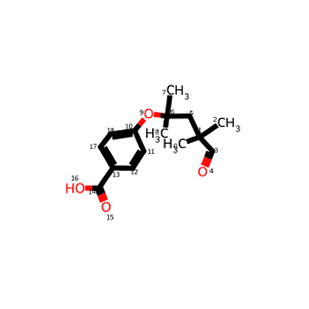 CC(C)(C=O)CC(C)(C)Oc1ccc(C(=O)O)cc1